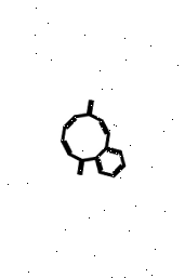 C=c1ccccc(=C)c2ccccc2cc1